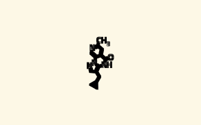 Cc1cc2c(=O)[nH]c3c(CC4CC4)cnn3c2cn1